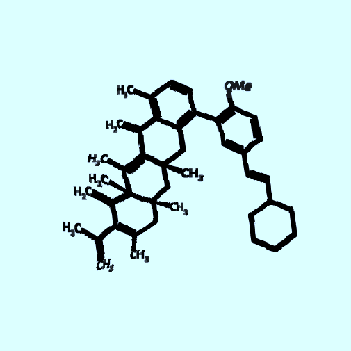 C=C(C)C1=C(C)C[C@@]2(C)C[C@@]3(C)Cc4c(-c5cc(/C=C/C6CCCCC6)ccc5OC)ccc(C)c4C(=C)C3=C(C)[C@@]2(C)C1=C